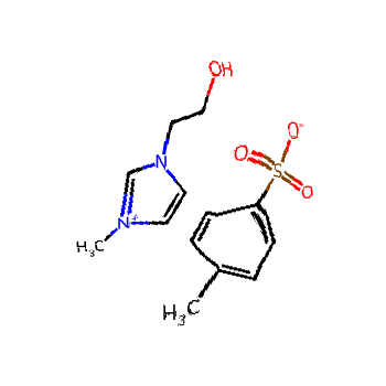 C[n+]1ccn(CCO)c1.Cc1ccc(S(=O)(=O)[O-])cc1